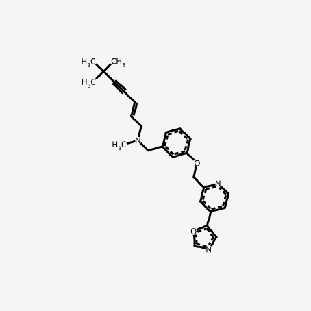 CN(CC=CC#CC(C)(C)C)Cc1cccc(OCc2cc(-c3cnco3)ccn2)c1